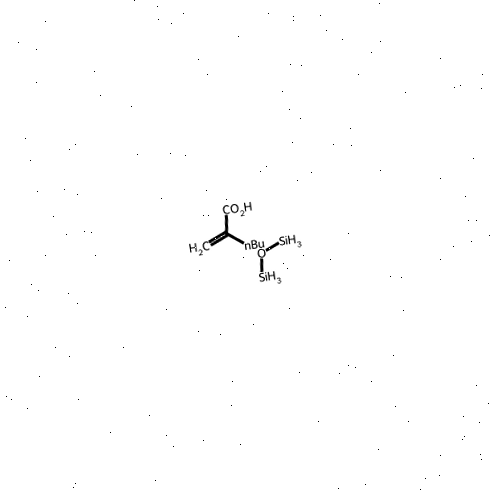 C=C(CCCC)C(=O)O.[SiH3]O[SiH3]